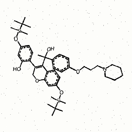 CC(O)(C1=C(c2ccc(O[Si](C)(C)C(C)(C)C)cc2O)COc2cc(O[Si](C)(C)C(C)(C)C)ccc21)c1ccc(OCCCN2CCCCC2)cc1